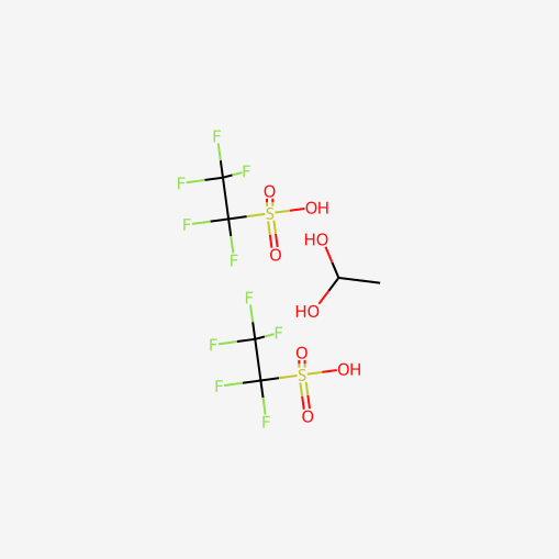 CC(O)O.O=S(=O)(O)C(F)(F)C(F)(F)F.O=S(=O)(O)C(F)(F)C(F)(F)F